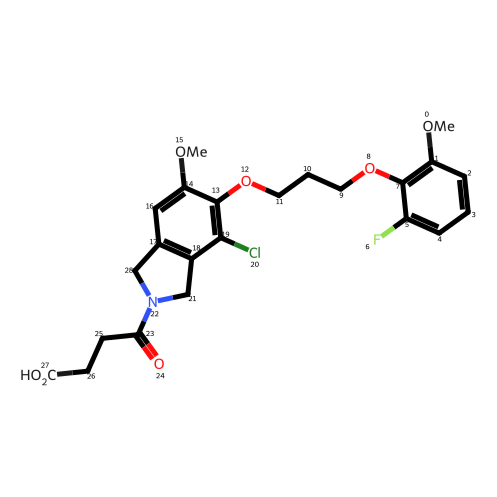 COc1cccc(F)c1OCCCOc1c(OC)cc2c(c1Cl)CN(C(=O)CCC(=O)O)C2